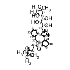 CC(C)(C)C[C@@H](O)[C@H](O)[C@H](O)[C@@H](O)Cn1nnc2c1-c1ccccc1CN(C(=O)CCC(=O)C(C)(C)C)c1ccccc1-2